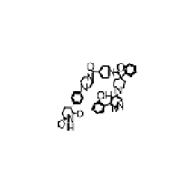 O=C1CC[C@H](c2ccc(N3CCN(C(=O)C4CCN(C(=O)C5(c6ccccc6)CCN(c6cnnc(-c7ccccc7O)c6)CC5)CC4)CC3)cc2)C(=O)N1